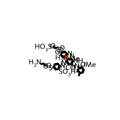 COc1ccc(C)cc1N=Nc1c(N)c(/N=N\c2cc(S(=O)(=O)CCOS(=O)(=O)O)ccc2OC)c(N)c(N=Nc2ccc(SOOCCN)cc2S(=O)(=O)O)c1C(=O)O